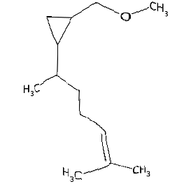 COCC1CC1C(C)CCC=C(C)C